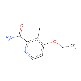 Cc1c(OCC(F)(F)F)ccnc1C(N)=O